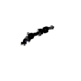 CCCC1CCC(C2COC(C#Cc3cc(F)c(O/C=C/C(F)F)c(F)c3)OC2)CC1